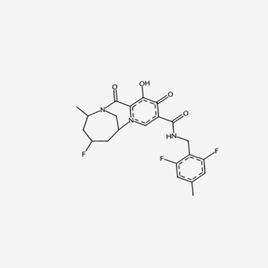 Cc1cc(F)c(CNC(=O)c2cn3c(c(O)c2=O)C(=O)N2CC3CC(F)CC2C)c(F)c1